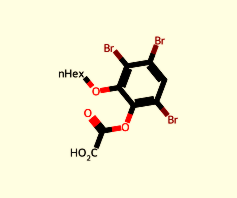 CCCCCCOc1c(Br)c(Br)cc(Br)c1OC(=O)C(=O)O